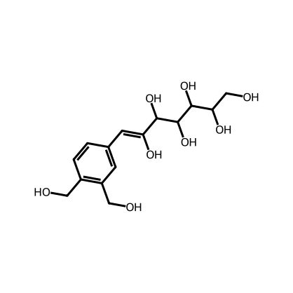 OCc1ccc(C=C(O)C(O)C(O)C(O)C(O)CO)cc1CO